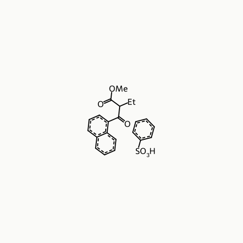 CCC(C(=O)OC)C(=O)c1cccc2ccccc12.O=S(=O)(O)c1ccccc1